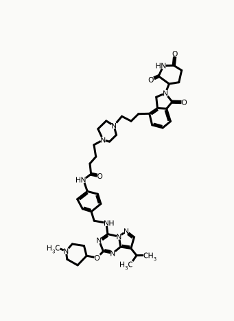 CC(C)c1cnn2c(NCc3ccc(NC(=O)CCCN4CCN(CCCc5cccc6c5CN(C5CCC(=O)NC5=O)C6=O)CC4)cc3)nc(OC3CCN(C)CC3)nc12